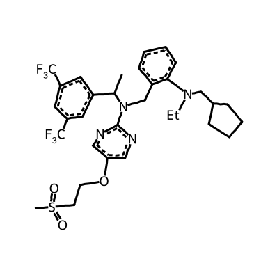 CCN(CC1CCCC1)c1ccccc1CN(c1ncc(OCCS(C)(=O)=O)cn1)C(C)c1cc(C(F)(F)F)cc(C(F)(F)F)c1